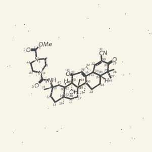 COC(=O)N1CCN(C(=O)N[C@@]2(C)CC[C@]3(C)CC[C@@]4(C)[C@]5(C)CC[C@H]6C(C)(C)C(=O)C(C#N)=C[C@]6(C)C5=CC(=O)[C@]4(O)[C@@H]3C2)CC1